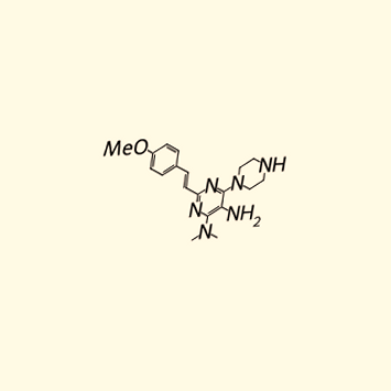 COc1ccc(C=Cc2nc(N(C)C)c(N)c(N3CCNCC3)n2)cc1